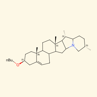 CCCCO[C@H]1CC[C@@]2(C)C(=CCC3C4CC5C([C@H](C)C6CC[C@H](C)CN56)[C@@]4(C)CCC32)C1